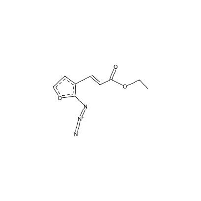 CCOC(=O)C=Cc1ccoc1N=[N+]=[N-]